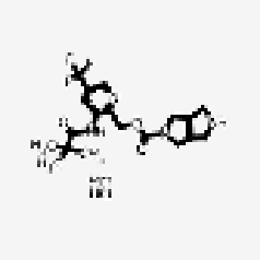 CC(C)(C)C(=O)Nc1cc(C(F)(F)F)cnc1COC(=O)N1CC2=C(CNC2)C1.Cl.Cl